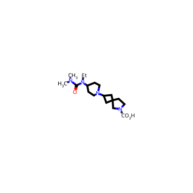 CCN(C(=O)N(C)C)C1CCN(C2CC3(CCN(C(=O)O)C3)C2)CC1